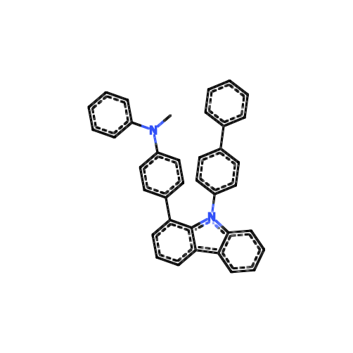 CN(c1ccccc1)c1ccc(-c2cccc3c4ccccc4n(-c4ccc(-c5ccccc5)cc4)c23)cc1